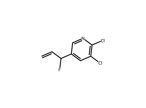 C=CC(F)c1cnc(Cl)c(Cl)c1